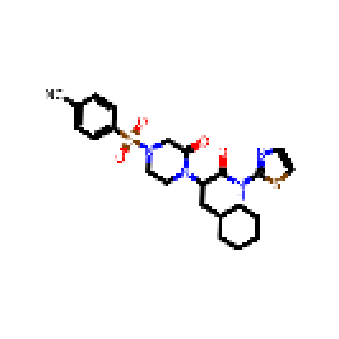 N#Cc1ccc(S(=O)(=O)N2CCN(C(CC3CCCCC3)C(=O)Nc3nccs3)C(=O)C2)cc1